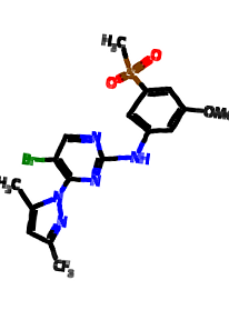 COc1cc(Nc2ncc(Br)c(-n3nc(C(F)(F)F)cc3C)n2)cc(S(C)(=O)=O)c1